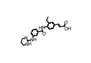 CCc1cc(/C=C/C(=O)O)ccc1NC(=O)c1cccc(NC2=NCCCN2)c1